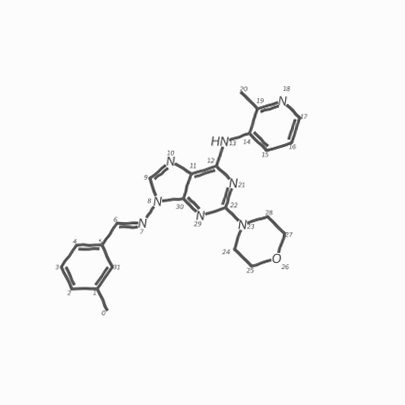 Cc1cccc(C=Nn2cnc3c(Nc4cccnc4C)nc(N4CCOCC4)nc32)c1